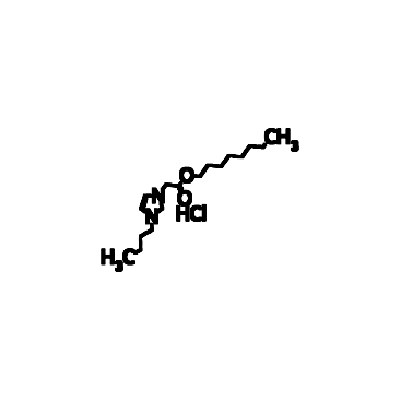 CCCCCCCCOC(=O)CN1C=CN(CCCC)C1.Cl